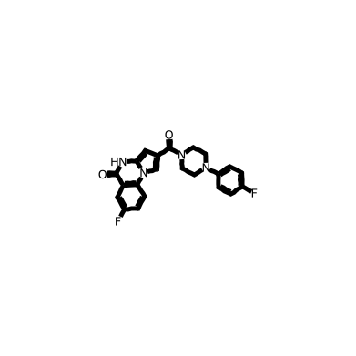 O=C(c1cc2[nH]c(=O)c3cc(F)ccc3n2c1)N1CCN(c2ccc(F)cc2)CC1